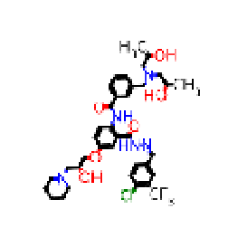 CC(O)CN(Cc1cccc(C(=O)Nc2ccc(OCC(O)CN3CCCCC3)cc2C(=O)N/N=C\c2ccc(Cl)c(C(F)(F)F)c2)c1)CC(C)O